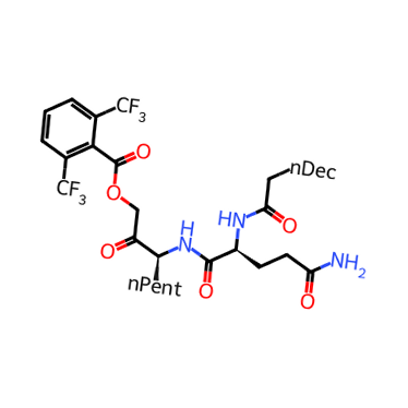 CCCCCCCCCCCC(=O)N[C@@H](CCC(N)=O)C(=O)N[C@@H](CCCCC)C(=O)COC(=O)c1c(C(F)(F)F)cccc1C(F)(F)F